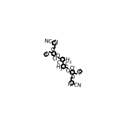 Cc1c(COc2cc(OCc3cncc(C#N)c3)c(CN3CCCC3)cc2Cl)cccc1-c1cccc(COc2cc(OCc3cncc(C#N)c3)c(CN3CCCC3)cc2Cl)c1C